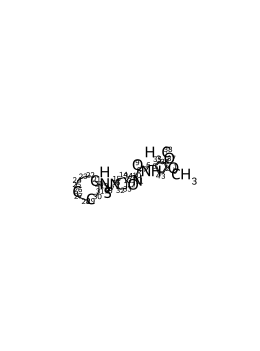 COc1ccc(CNC(=O)C2=NOC3(CCN(C(=S)NC4CCCCCCCCCCC4)CC3)C2)cc1OC